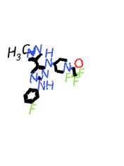 Cn1cc(-c2cnc(Nc3cccc(F)c3)nc2NC2CCN(C(=O)C(F)(F)F)CC2)cn1